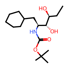 CC[C@H](O)[C@H](O)[C@H](CC1CCCCC1)NC(=O)OC(C)(C)C